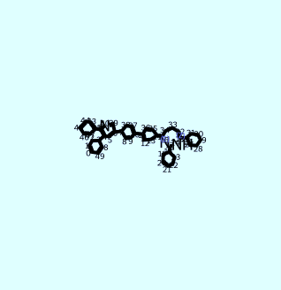 C1=CCC(c2cc(C3C=CC(C4=CCC(/C5=N/C(C6CC=CCC6)N/C(C6CCCCC6)=C\CC5)C=C4)=CC3)cnc2-c2ccccc2)C=C1